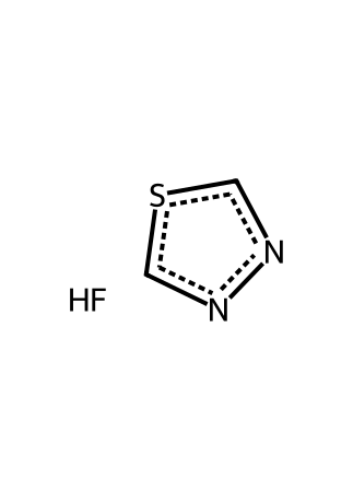 F.c1nncs1